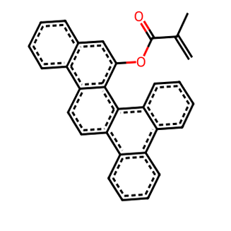 C=C(C)C(=O)Oc1cc2ccccc2c2ccc3c4ccccc4c4ccccc4c3c12